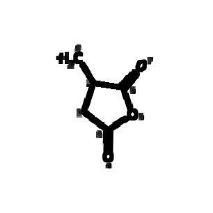 [CH2]C1CC(=O)OC1=O